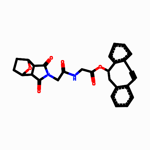 O=C(CN1C(=O)C2C3CCC(O3)C2C1=O)NCC(=O)OC1Cc2ccccc2C#Cc2ccccc21